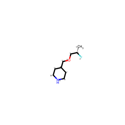 C[C@H](F)COCC1CCNCC1